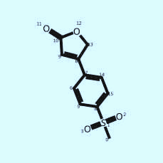 CS(=O)(=O)c1ccc(C2=CC(=O)OC2)cc1